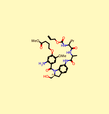 C=CCOC(=O)NC(C(=O)NC(C)C(=O)Nc1ccc2c(c1)N(C(=O)c1cc(OC)c(OCCCC(=O)OC)cc1N)[C@H](CO)C2)C(C)C